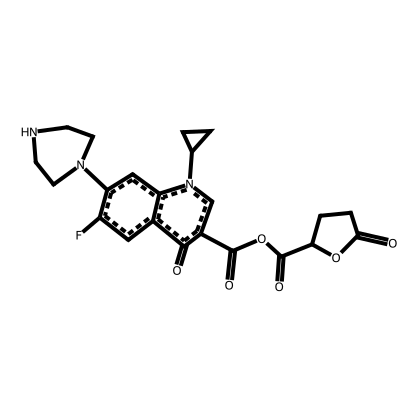 O=C1CCC(C(=O)OC(=O)c2cn(C3CC3)c3cc(N4CCNCC4)c(F)cc3c2=O)O1